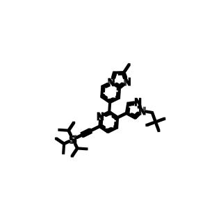 Cc1cn2ccc(-c3nc(C#C[Si](C(C)C)(C(C)C)C(C)C)ccc3-c3cnn(CC(C)(C)C)c3)cc2n1